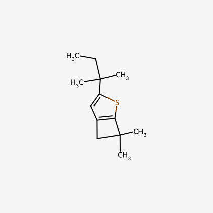 CCC(C)(C)c1cc2c(s1)C(C)(C)C2